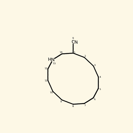 N#CC1CCCCCCCCCCCNC1